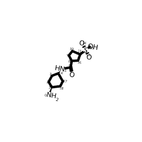 N[C@H]1CC[C@H](NC(=O)C2CCC(S(=O)(=O)O)C2)CC1